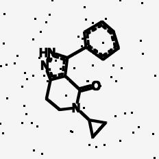 O=C1c2c(n[nH]c2-c2ccccc2)CCN1C1CC1